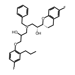 CCCc1cc(F)ccc1OCC(O)CN(Cc1ccccc1)C[C@@H](O)[C@H]1CCc2cc(F)ccc2O1